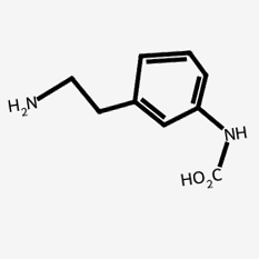 NCCc1cccc(NC(=O)O)c1